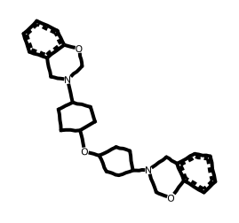 c1ccc2c(c1)CN(C1CCC(OC3CCC(N4COc5ccccc5C4)CC3)CC1)CO2